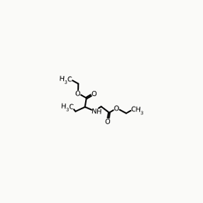 CCOC(=O)CNC(CC)C(=O)OCC